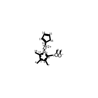 C[O-].C[O-].Cc1c(C)c(C)[p]([Zr+2][C]2=CC=CC2)c1C